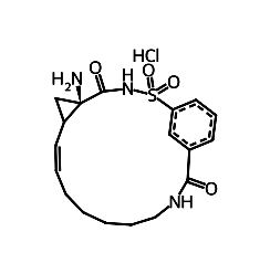 Cl.N[C@]12CC1C=CCCCCCNC(=O)c1cccc(c1)S(=O)(=O)NC2=O